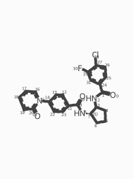 O=C(NC1CCC[C@@H]1NC(=O)c1ccc(-n2ccccc2=O)cc1)c1ccc(Cl)c(F)c1